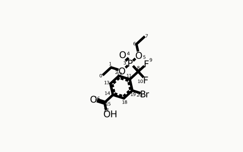 CCOP(=O)(OCC)C(F)(F)c1ccc(C(=O)O)cc1Br